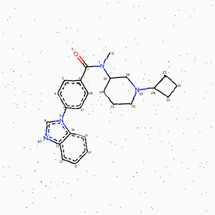 CN(C(=O)c1ccc(-n2cnc3ccccc32)cc1)C1CCCN(C2CCC2)C1